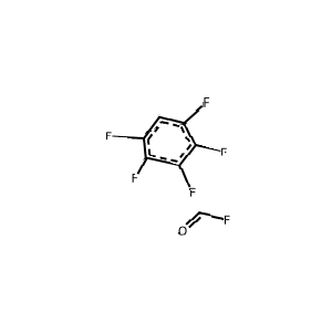 Fc1cc(F)c(F)c(F)c1F.O=CF